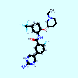 CCN1CCC[C@H](Oc2ccc(C(F)(F)F)cc2NC(=O)c2cc(-c3cnc(N)nc3)ccc2F)C1